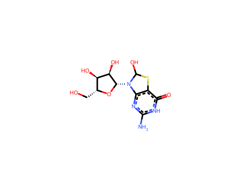 Nc1nc2c(c(=O)[nH]1)SC(O)N2[C@@H]1O[C@H](CO)[C@@H](O)[C@H]1O